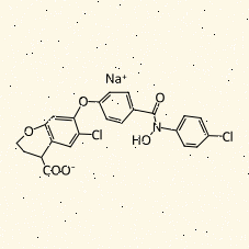 O=C([O-])C1CCOc2cc(Oc3ccc(C(=O)N(O)c4ccc(Cl)cc4)cc3)c(Cl)cc21.[Na+]